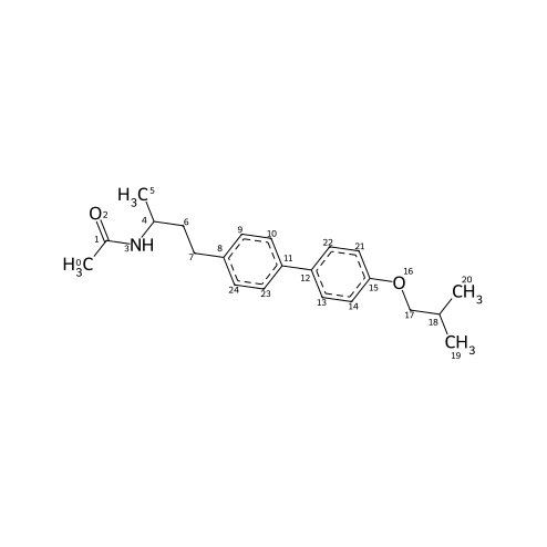 CC(=O)NC(C)CCc1ccc(-c2ccc(OCC(C)C)cc2)cc1